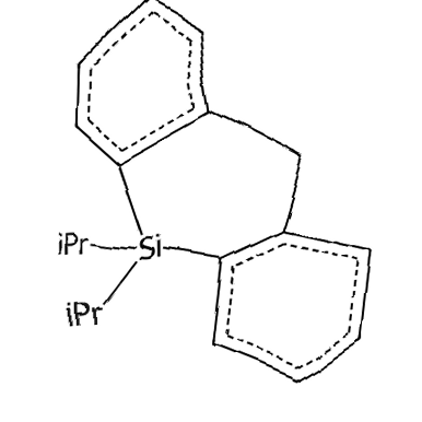 CC(C)[Si]1(C(C)C)c2ccccc2Cc2ccccc21